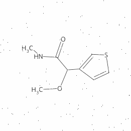 CNC(=O)C(OC)c1ccsc1